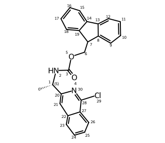 C[C@H](NC(=O)OCC1c2ccccc2-c2ccccc21)c1cc2ccccc2c(Cl)n1